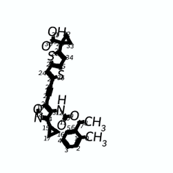 Cc1ccccc1C(C)OC(=O)Nc1c(C2CC2)noc1C#Cc1cc2sc(C3(C(=O)O)CC3)cc2s1